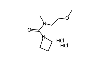 COCCN(C)C(=O)N1CCC1.Cl.Cl